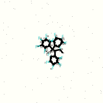 CCC(c1c(F)c(F)c(F)c(F)c1F)[C]([Sn])(c1c(F)c(F)c(F)c(F)c1F)c1c(F)c(F)c(F)c(F)c1F